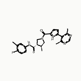 Cc1cc(NC(=O)[C@@H]2CN(C(=O)c3ccc(-c4c(C)ncnc4C)[nH]3)C[C@H]2C)ccc1F